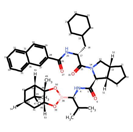 CC(C)[C@H](NC(=O)[C@@H]1[C@H]2CCC[C@H]2CN1C(=O)[C@@H](CC1CCCCC1)NC(=O)c1ccc2ccccc2c1)B1O[C@@H]2C[C@@H]3C[C@@H](C3(C)C)[C@]2(C)O1